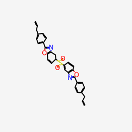 C=CCc1ccc(-c2nc3c(o2)C=CC(S(=O)(=O)c2ccc4oc(-c5ccc(CC=C)cc5)nc4c2)C3)cc1